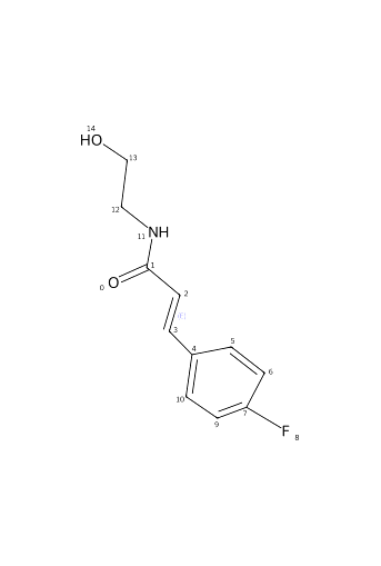 O=C(/C=C/c1ccc(F)cc1)NCCO